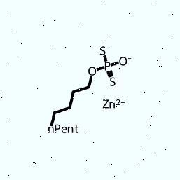 CCCCCCCCCOP([O-])(=S)[S-].[Zn+2]